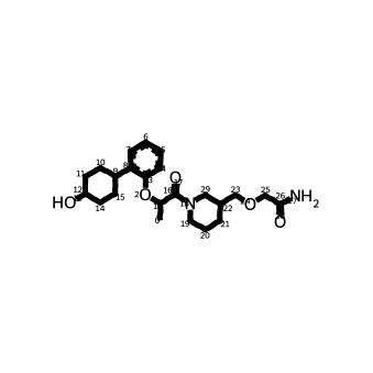 CC(Oc1ccccc1C1CCC(O)CC1)C(=O)N1CCCC(COCC(N)=O)C1